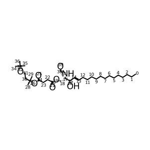 CCCCCCCCCCCCC/C=C/[C@@H](O)[C@H](COC(=O)CCC(=O)OC(C)(C)CCOC(C)(C)C)NC=O